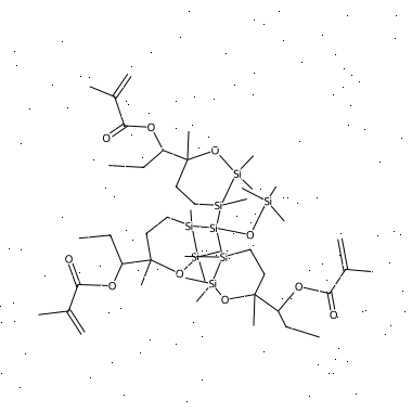 C=C(C)C(=O)OC(CC)C1(C)CC[Si](C)([Si](O[Si](C)(C)C)([Si]2(C)CCC(C)(C(CC)OC(=O)C(=C)C)O[Si]2(C)C)[Si]2(C)CCC(C)(C(CC)OC(=O)C(=C)C)O[Si]2(C)C)[Si](C)(C)O1